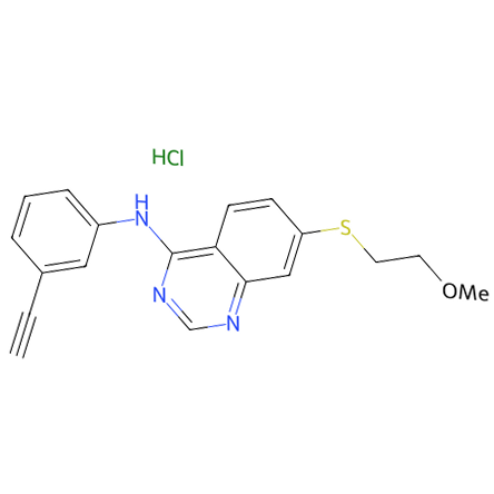 C#Cc1cccc(Nc2ncnc3cc(SCCOC)ccc23)c1.Cl